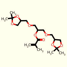 C=C(C)C(=O)OC(COCC1COC(C)(C)O1)COCC1COC(C)(C)O1